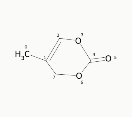 CC1=COC(=O)OC1